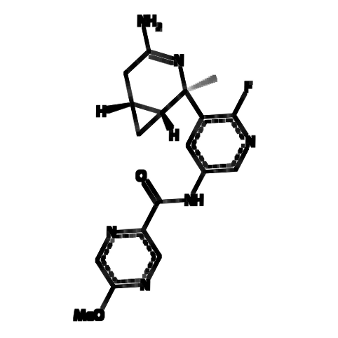 COc1cnc(C(=O)Nc2cnc(F)c([C@]3(C)N=C(N)C[C@H]4C[C@H]43)c2)cn1